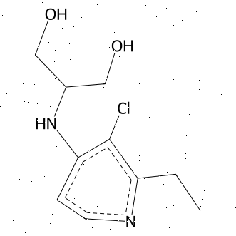 CCc1nccc(NC(CO)CO)c1Cl